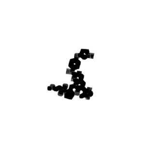 COCCS(=O)(=O)n1cccc1Cn1c(=O)c(-c2ncsc2C)cc2cnc(Nc3ccc(OC4CCNC4)cc3)nc21